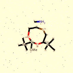 CN.CO[Si]1([Si](C)(C)C)OCCSCC([Si](C)(C)C)O1